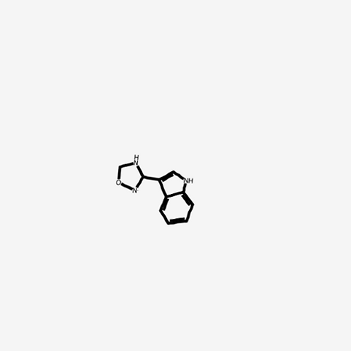 c1ccc2c(C3[N]OCN3)c[nH]c2c1